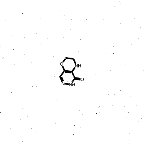 O=c1[nH]ncc2c1NC[CH]O2